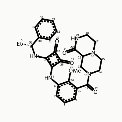 CC[C@@H](Nc1c(Nc2cccc(C(=O)N3CCN4CCNC(=O)C4C3)c2OC)c(=O)c1=O)c1ccccc1